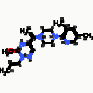 C=C/N=C(\C=N/N(C=O)CCC)C(=C)N1CCN(c2ncc(C)cc2C)CC1